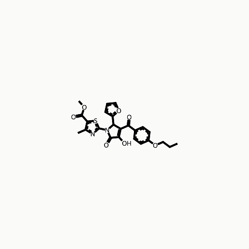 CCCOc1ccc(C(=O)C2=C(O)C(=O)N(c3nc(C)c(C(=O)OC)s3)C2c2ccco2)cc1